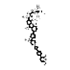 Cc1cc(C(=N)C2=C(N)CC=CC(c3ccc(C4(C)CCN(C5CC(c6ccc(C7CCC(=O)NC7=O)cc6)C5)CC4)cc3)=C2)ccc1[C@@H](C)NC(=O)c1noc(C(C)(C)C)n1